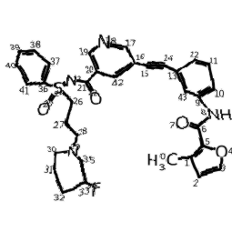 Cc1ccoc1C(=O)Nc1cccc(C#Cc2cncc(C(=O)N=S(=O)(CCCN3CCCC(F)C3)c3ccccc3)c2)c1